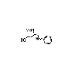 CN[C@@H](CCO)CNc1ccccc1